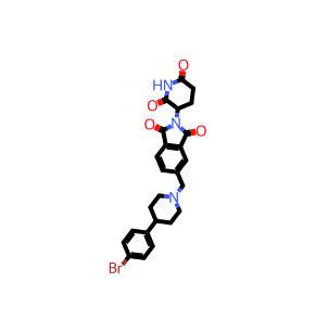 O=C1CCC(N2C(=O)c3ccc(CN4CCC(c5ccc(Br)cc5)CC4)cc3C2=O)C(=O)N1